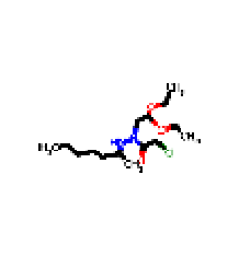 CCCCCC(C)NN(CC(OCC)OCC)C(=O)CCl